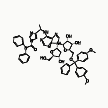 COc1ccc(C(OC[C@H]2O[C@@H]([N+]3([C@@H]4C[C@H](O)[C@@H](CO)O4)C=Nc4c(NC(C)c5cn(C(=O)N(c6ccccc6)c6ccccc6)cn5)ncnc43)[C@H](O)[C@@H]2O)(c2ccccc2)c2ccc(OC)cc2)cc1